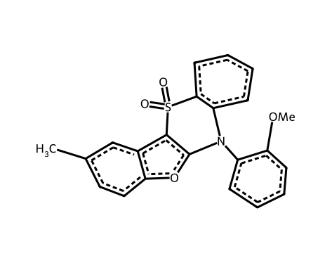 COc1ccccc1N1c2ccccc2S(=O)(=O)c2c1oc1ccc(C)cc21